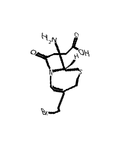 NC1(C(=O)O)C(=O)N2C=C(CBr)CS[C@H]21